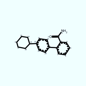 NC(=O)c1ccccc1-c1ccc(C2CCCCC2)cc1